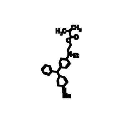 C=C(C)C(=O)OCCN(CC)c1ccc(C(c2ccccc2)C2C=CC(=NC(C)CC)C=C2)cc1